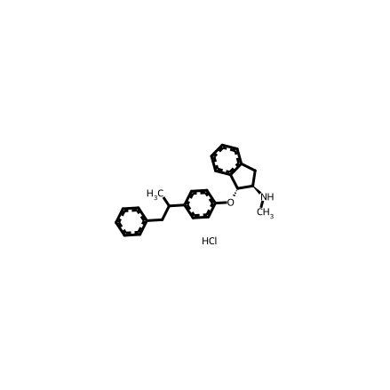 CN[C@@H]1Cc2ccccc2[C@H]1Oc1ccc(C(C)Cc2ccccc2)cc1.Cl